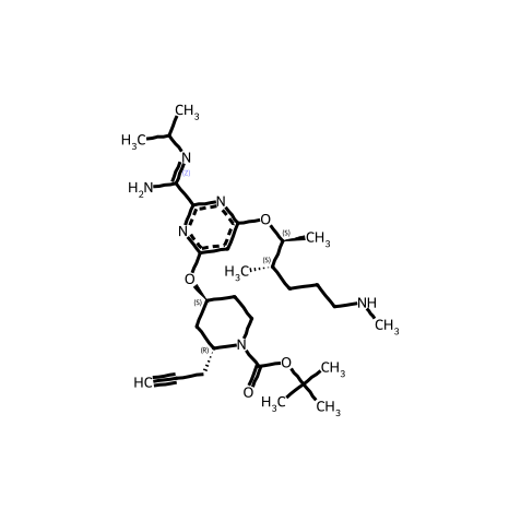 C#CC[C@@H]1C[C@@H](Oc2cc(O[C@@H](C)[C@@H](C)CCCNC)nc(/C(N)=N/C(C)C)n2)CCN1C(=O)OC(C)(C)C